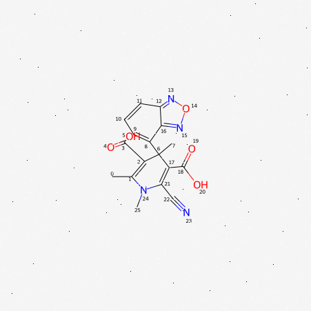 CC1=C(C(=O)O)C(C)(c2cccc3nonc23)C(C(=O)O)=C(C#N)N1C